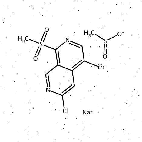 CC(C)c1cnc(S(C)(=O)=O)c2cnc(Cl)cc12.CS(=O)[O-].[Na+]